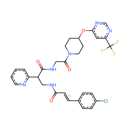 O=C(/C=C/c1ccc(Cl)cc1)NCC(C(=O)NCC(=O)N1CCC(Oc2cc(C(F)(F)F)ncn2)CC1)c1ccccn1